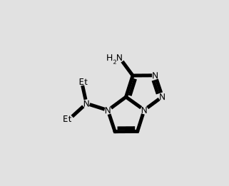 CCN(CC)n1ccn2nnc(N)c12